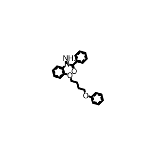 NN(C(=O)c1ccccc1)c1ccccc1OCCCCOc1ccccc1